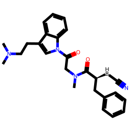 CN(C)CCc1cn(C(=O)CN(C)C(=O)[C@@H](BC#N)Cc2ccccc2)c2ccccc12